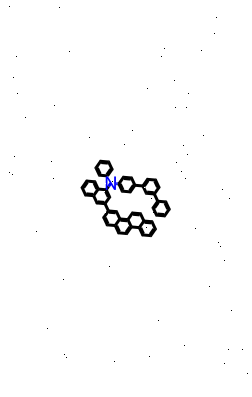 c1ccc(-c2cccc(-c3ccc(N(c4ccccc4)c4cc(-c5ccc6ccc7c8ccccc8ccc7c6c5)cc5ccccc45)cc3)c2)cc1